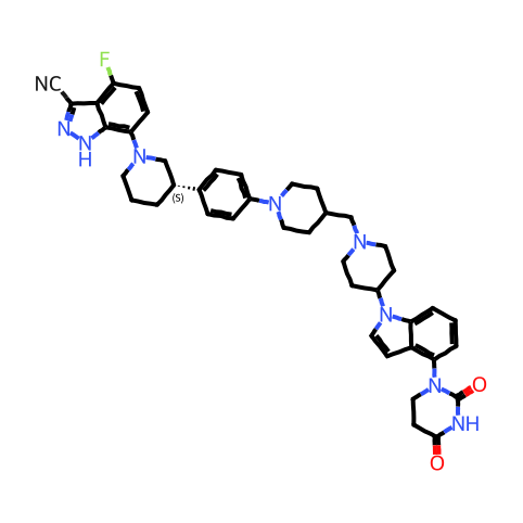 N#Cc1n[nH]c2c(N3CCC[C@@H](c4ccc(N5CCC(CN6CCC(n7ccc8c(N9CCC(=O)NC9=O)cccc87)CC6)CC5)cc4)C3)ccc(F)c12